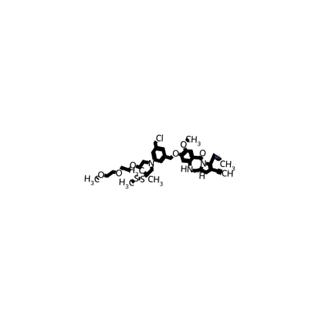 C#CC1=C(/C=C\C)N2C(=O)c3cc(OC)c(OCc4cc(CCl)cc(N(CCOCCOCCOC)CC(C)(C)SSC)c4)cc3NC[C@@H]2C1